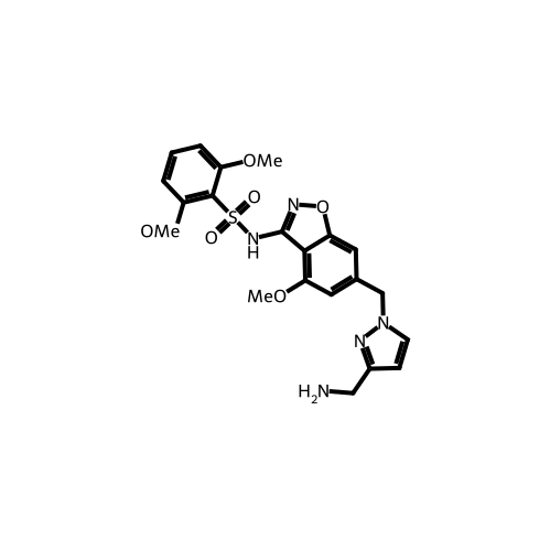 COc1cccc(OC)c1S(=O)(=O)Nc1noc2cc(Cn3ccc(CN)n3)cc(OC)c12